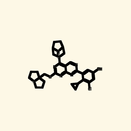 Oc1cc(Cl)c(C2CC2)c(-c2ncc3c(N4CC5CCC(C4)N5)nc(OCC45CCCN4CCC5)nc3n2)c1